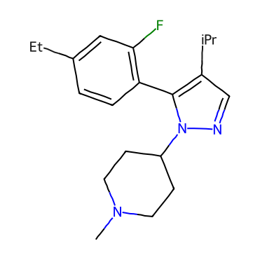 CCc1ccc(-c2c(C(C)C)cnn2C2CCN(C)CC2)c(F)c1